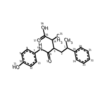 CC(CC(C(=O)Nc1ccc(O)cc1)C(C)C(=O)O)c1ccccc1